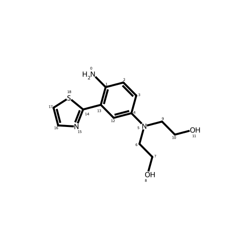 Nc1ccc(N(CCO)CCO)cc1-c1nccs1